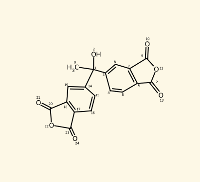 CC(O)(c1ccc2c(c1)C(=O)OC2=O)c1ccc2c(c1)C(=O)OC2=O